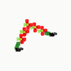 O=S(=O)([O-])F.O=S(=O)([O-])F.O=S(=O)([O-])F.O=S(=O)([O-])F.O=S(=O)([O-])F.[Cl-].[Cl-].[Cl-].[Cl-].[Cl-].[Nb+5].[Nb+5]